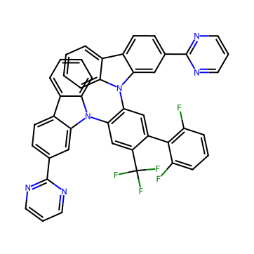 Fc1cccc(F)c1-c1cc(-n2c3ccccc3c3ccc(-c4ncccn4)cc32)c(-n2c3ccccc3c3ccc(-c4ncccn4)cc32)cc1C(F)(F)F